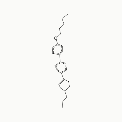 CCCCCOc1ccc(-c2ccc(C3=CCC(CCC)CC3)cc2)cc1